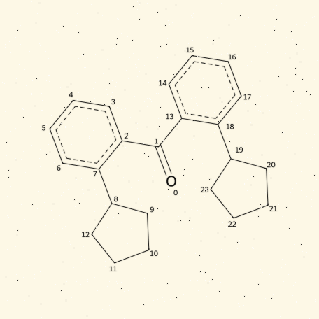 O=C(c1ccccc1C1CCCC1)c1ccccc1C1CCCC1